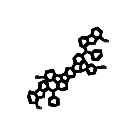 CC(C)(C)c1ccc2c(c1)c1c(N(c3ccccc3)c3cccc4c3oc3c(C(C)(C)C)cccc34)ccc3c4cc5c(cc4n2c31)c1ccc(N(c2ccccc2)c2cccc3c2oc2c(C(C)(C)C)cccc23)c2c3cc(C(C)(C)C)ccc3n5c12